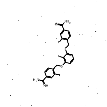 N=C(N)c1ccc(CSc2cccc(SCc3ccc(C(=N)N)cc3F)c2F)c(F)c1